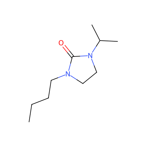 CCCCN1CCN(C(C)C)C1=O